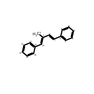 CC(C=Cc1ccccc1)=Cc1ccccc1